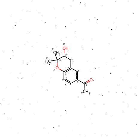 CC(=O)c1ccc2c(c1)CC(O)C(C)(C)O2